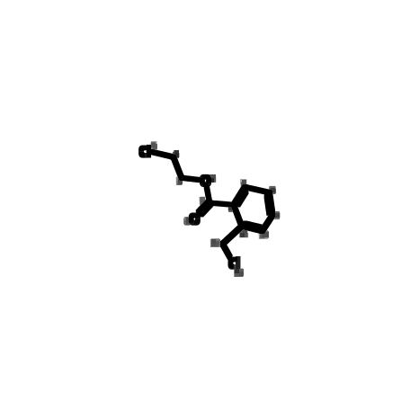 O=C(OCCCl)c1ccccc1CCl